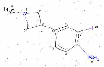 CN1CC(c2ccc(N)c(I)c2)C1